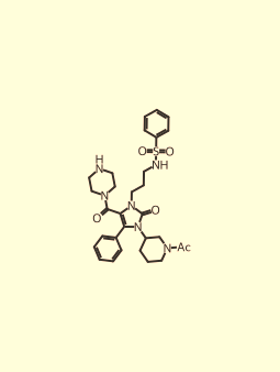 CC(=O)N1CCCC(n2c(-c3ccccc3)c(C(=O)N3CCNCC3)n(CCCNS(=O)(=O)c3ccccc3)c2=O)C1